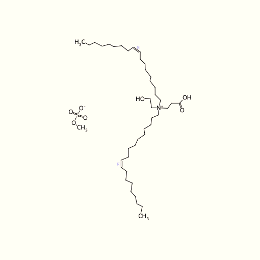 CCCCCCCC/C=C\CCCCCCCCC[N+](CCO)(CCCCCCCC/C=C\CCCCCCCC)CCC(=O)O.COS(=O)(=O)[O-]